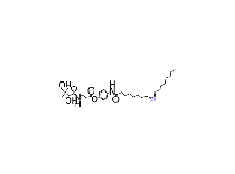 CCCCCCCC/C=C\CCCCCCCC(=O)Nc1ccc(OC(=O)CCNC(=O)C(O)C(C)(C)CO)cc1